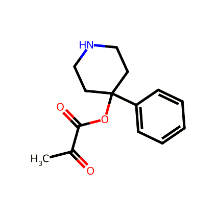 CC(=O)C(=O)OC1(c2ccccc2)CCNCC1